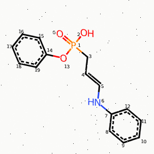 O=P(O)(CC=CNc1ccccc1)Oc1ccccc1